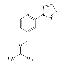 CC(C)OCc1ccnc(-n2c[c]cn2)c1